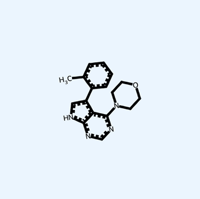 Cc1ccccc1-c1c[nH]c2ncnc(N3CCOCC3)c12